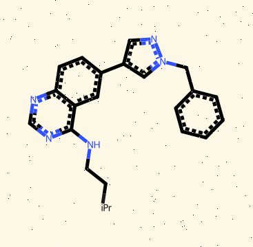 CC(C)CCNc1ncnc2ccc(-c3cnn(Cc4ccccc4)c3)cc12